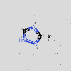 [Ir].c1nc[nH]n1